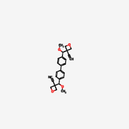 C#CC1(C(OC)c2ccc(-c3ccc(C(OC)C4(C#C)COC4)cc3)cc2)COC1